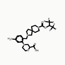 Cc1ccc(CN2CCC3(CCN(C(=O)OC(C(F)(F)F)C(F)(F)F)CC3)C2)c(N2CCOC(C(=O)O)C2)c1